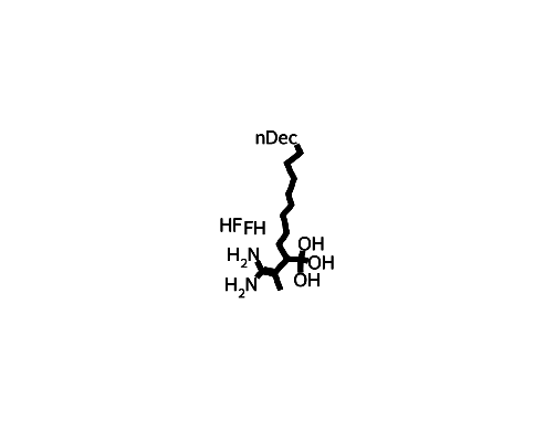 CCCCCCCCCCCCCCCCCCC(C(C)=C(N)N)C(O)(O)O.F.F